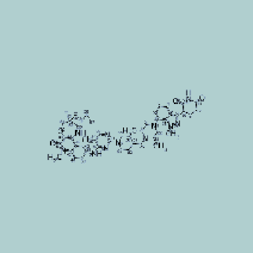 C[C@@H]1CN(c2cccc3c(C4CCC(=O)NC4=O)nn(C)c23)C[C@H](C)N1CC1CCN(c2ncc(Cl)c(Nc3ccc4c(c3)c3c(c(=O)n4C)OCC(F)(F)[C@H](C4CC4)N3)n2)CC1